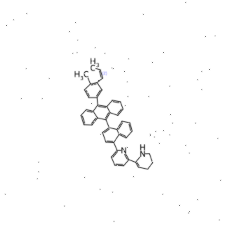 C/C=C\c1cc(-c2c3ccccc3c(-c3ccc(-c4cccc(C5=CCCCN5)n4)c4ccccc34)c3ccccc23)ccc1C